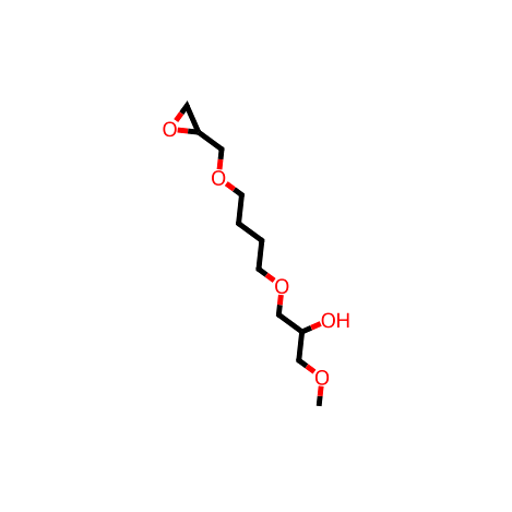 COCC(O)COCCCCOCC1CO1